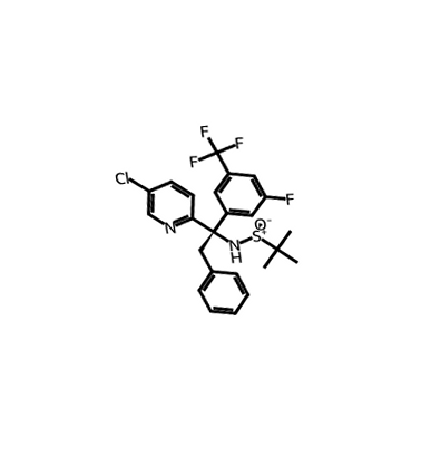 CC(C)(C)[S@@+]([O-])N[C@@](Cc1ccccc1)(c1cc(F)cc(C(F)(F)F)c1)c1ccc(Cl)cn1